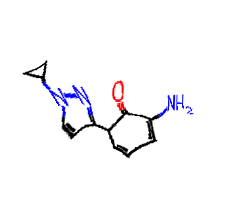 NC1=CC=CC(c2ccn(C3CC3)n2)C1=O